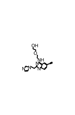 C#Cc1ccc2nc(CCn3ccnc3)nc(NCCOCCO)c2c1